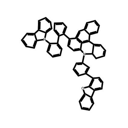 C1=CCC(N(c2ccc(-c3ccccc3-c3ccccc3-n3c4ccccc4c4ccccc43)cc2)c2cccc(-c3cccc4c3oc3ccccc34)c2)C(c2cccc3ccccc23)=C1